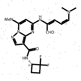 CNc1cc(N/C(C=O)=C/C=C\N(C)C)nc2c(C(=O)N[C@H]3CCC3(F)F)cnn12